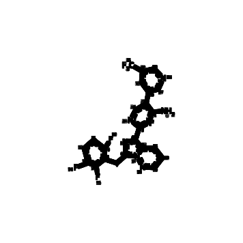 Nc1nc(-c2nc(Cc3c(F)ccc(F)c3F)n3ncccc23)ncc1-c1cncc(C(F)(F)F)c1